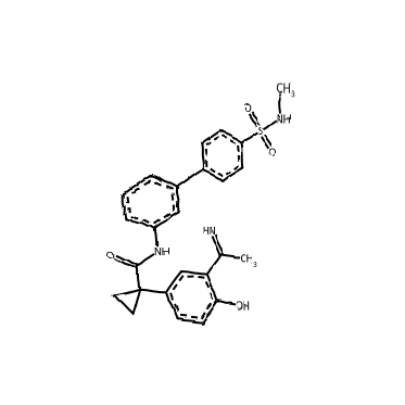 CNS(=O)(=O)c1ccc(-c2cccc(NC(=O)C3(c4ccc(O)c(C(C)=N)c4)CC3)c2)cc1